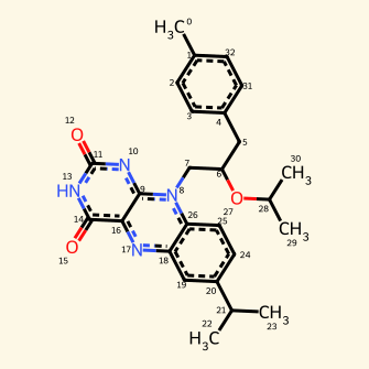 Cc1ccc(CC(Cn2c3nc(=O)[nH]c(=O)c-3nc3cc(C(C)C)ccc32)OC(C)C)cc1